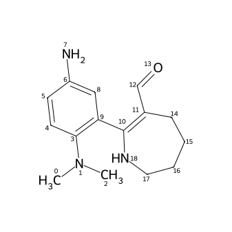 CN(C)c1ccc(N)cc1C1=C(C=O)CCCCN1